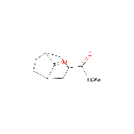 COC(=O)C1CC2CCC(C1)C2=O